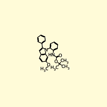 COc1ccc2cc(-c3ccccc3)n(-c3ccccc3NC(=O)OC(C)(C)C)c2c1